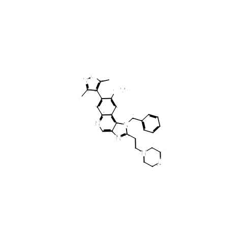 COc1cc2c(cc1-c1c(C)noc1C)ncc1nc(CCN3CCOCC3)n(Cc3ccccc3)c12